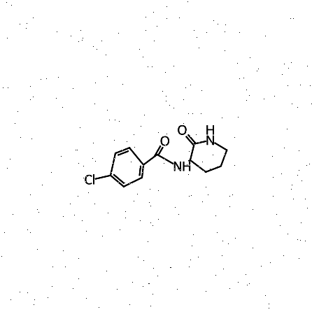 O=C(NC1CCCNC1=O)c1ccc(Cl)cc1